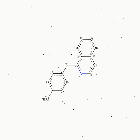 CCCCc1ccc(Cc2nccc3c[c]ccc23)cc1